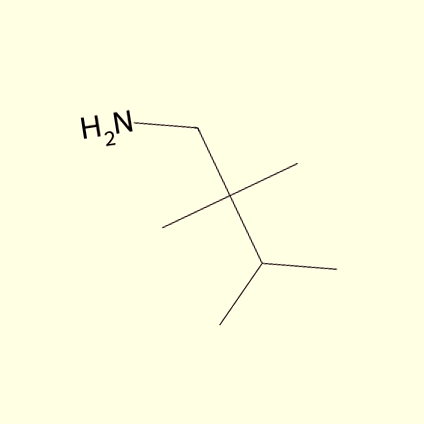 CC(C)C(C)(C)CN